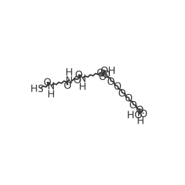 O=C(CCS)NCCCCCC(=O)NCCOC(=O)NCCCCCCOP(=O)(O)OCCOCCOCCOCCOCCOCCO[PH](=O)O